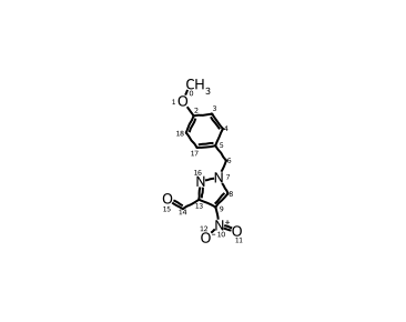 COc1ccc(Cn2cc([N+](=O)[O-])c(C=O)n2)cc1